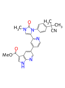 COC(=O)c1c[nH]c2ncc(-c3ccnc(-c4cn(C)c(=O)n4-c4ccc(C(C)(C)C#N)cc4)c3)cc12